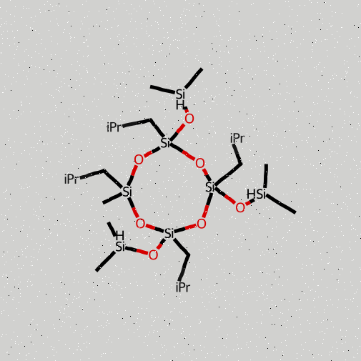 CC(C)C[Si]1(C)O[Si](CC(C)C)(O[SiH](C)C)O[Si](CC(C)C)(O[SiH](C)C)O[Si](CC(C)C)(O[SiH](C)C)O1